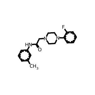 Cc1cccc(NC(=O)CN2CCN(c3ccccc3F)CC2)c1